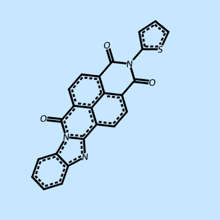 O=C1c2ccc3c(=O)n4c5ccccc5nc4c4ccc(c2c34)C(=O)N1c1cccs1